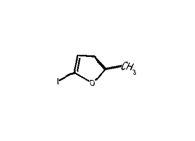 CC1CC=C(I)O1